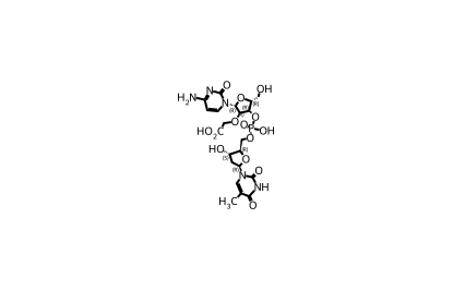 Cc1cn([C@H]2C[C@H](O)[C@@H](COP(=O)(O)O[C@H]3[C@@H](OCC(=O)O)[C@H](n4ccc(N)nc4=O)O[C@@H]3CO)O2)c(=O)[nH]c1=O